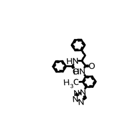 Cc1c(NC(=O)C(Cc2ccccc2)NC(=O)c2ccccc2)cccc1-n1cnnn1